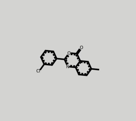 Cc1ccc2nc(-c3cccc(Cl)c3)oc(=O)c2c1